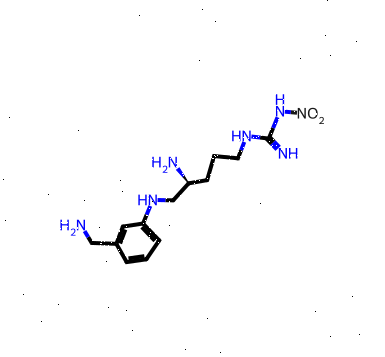 N=C(NCCC[C@H](N)CNc1cccc(CN)c1)N[N+](=O)[O-]